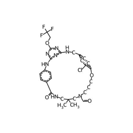 CC1(C)CNC(=O)c2ccc(cc2)Nc2nc(nc(OCC(F)(F)F)n2)NCc2ccc(c(Cl)c2)OCCCN(C=O)C1